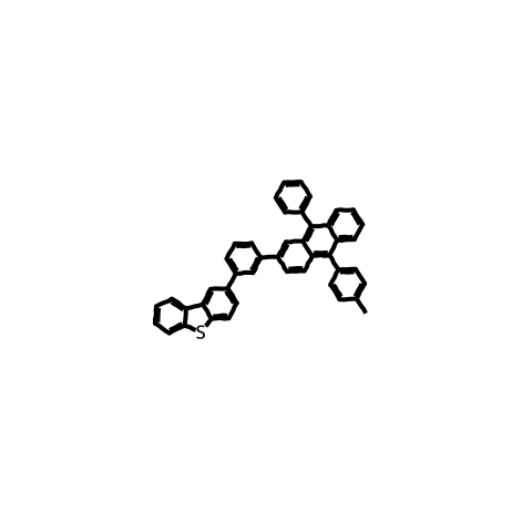 Cc1ccc(-c2c3ccccc3c(-c3ccccc3)c3cc(-c4cccc(-c5ccc6sc7ccccc7c6c5)c4)ccc23)cc1